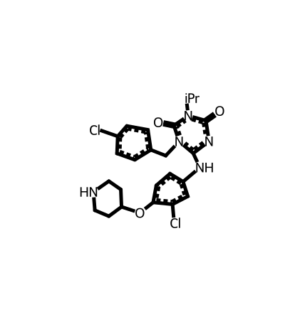 CC(C)n1c(=O)nc(Nc2ccc(OC3CCNCC3)c(Cl)c2)n(Cc2ccc(Cl)cc2)c1=O